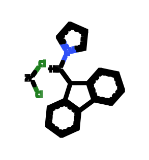 [Cl][Zr][Cl].c1ccc2c(c1)-c1ccccc1C2[SiH]n1cccc1